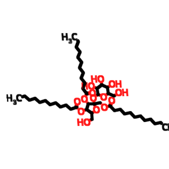 CCCCCCCCCCCC(=O)OCC1(OC2OC(CO)C(O)C(O)C2O)OC(CO)C(OC(=O)CCCCCCCCCCC)C1OC(=O)CCCCCCCCCCC